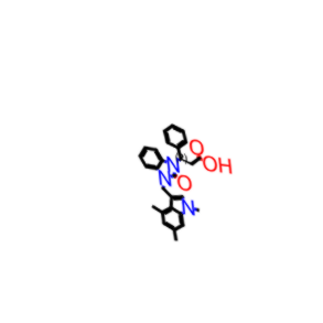 Cc1cc(C)c2c(Cn3c(=O)n([C@H](CC(=O)O)c4ccccc4)c4ccccc43)cn(C)c2c1